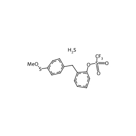 COSc1ccc(Cc2ccccc2OS(=O)(=O)C(F)(F)F)cc1.S